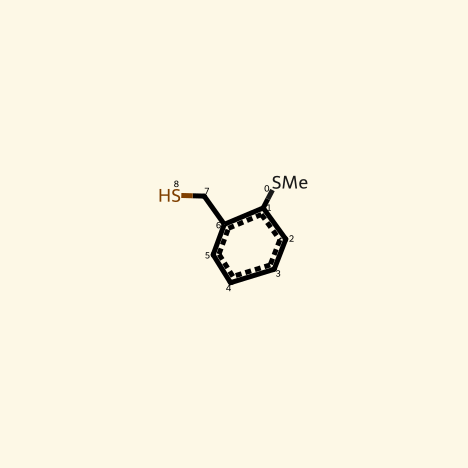 CSc1ccccc1CS